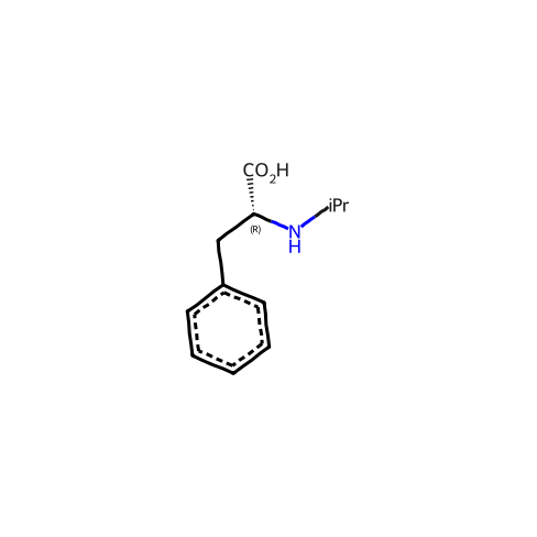 CC(C)N[C@H](Cc1ccccc1)C(=O)O